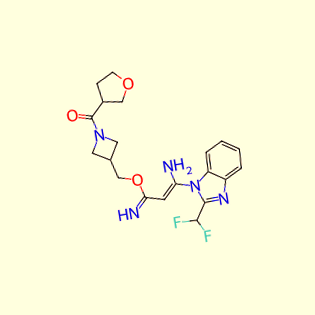 N=C(/C=C(\N)n1c(C(F)F)nc2ccccc21)OCC1CN(C(=O)C2CCOC2)C1